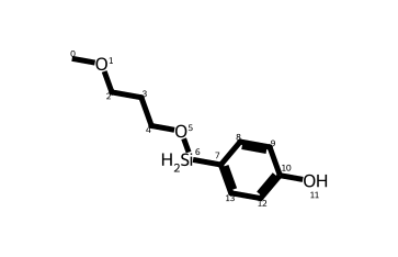 COCCCO[SiH2]c1ccc(O)cc1